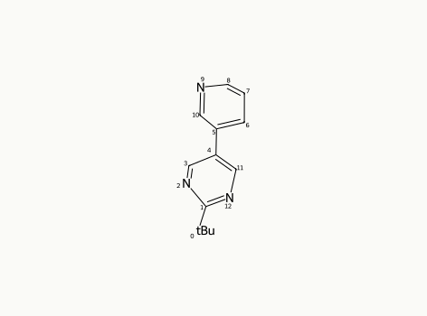 CC(C)(C)c1ncc(-c2cccnc2)cn1